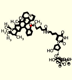 CCN1c2cc3c(cc2C(C)CC1(C)C)C(c1ccccc1C(=O)N(C)CCCC(=O)NC/C=C/c1cn([C@@H]2C[C@H](COP(=O)(O)OP(=O)(O)OP(=O)(O)O)[C@@H](O)C2)c(=O)[nH]c1=O)=c1cc2c4c(c1C3(C)C)CCC[N+]=4CC=C2